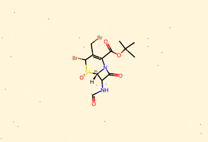 CC(C)(C)OC(=O)C1=C(CBr)C(Br)[S+]([O-])[C@H]2C(NC=O)C(=O)N12